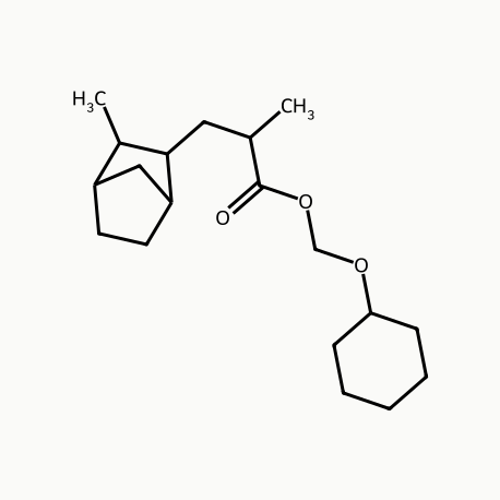 CC(CC1C2CCC(C2)C1C)C(=O)OCOC1CCCCC1